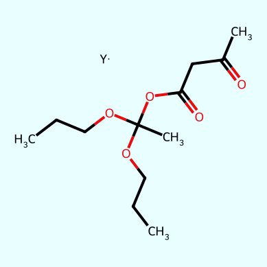 CCCOC(C)(OCCC)OC(=O)CC(C)=O.[Y]